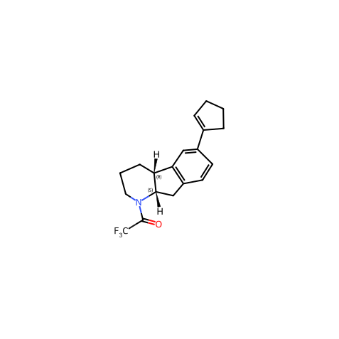 O=C(N1CCC[C@@H]2c3cc(C4=CCCC4)ccc3C[C@@H]21)C(F)(F)F